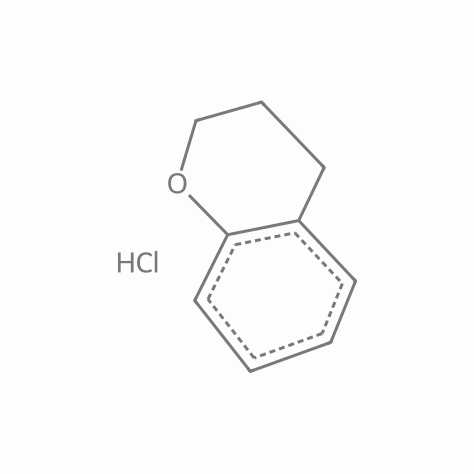 Cl.c1ccc2c(c1)CCCO2